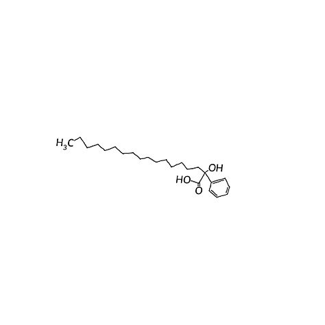 CCCCCCCCCCCCCCCCC(O)(C(=O)O)c1ccccc1